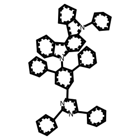 c1ccc(-c2cc(-c3cc(-c4ccccc4)c(-n4c5ccccc5c5c6c7ccccc7n(-c7ccccc7)c6ccc54)c(-c4ccccc4)c3)nc(-c3ccccc3)n2)cc1